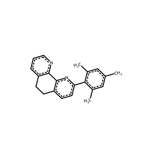 Cc1cc(C)c(-c2ccc3c(n2)-c2ncccc2CC3)c(C)c1